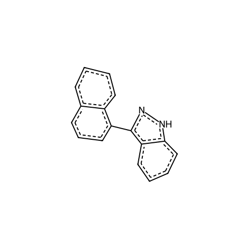 c1ccc2c(-c3n[nH]c4ccccc34)cccc2c1